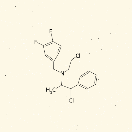 CC(C(Cl)c1ccccc1)N(CCCl)Cc1ccc(F)c(F)c1